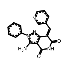 Nc1c2c(nn1-c1ccccc1)/C(=C\c1cccnc1)C(=O)NC2=O